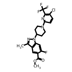 COC(=O)c1cc2c(C)nn(C3CCN(c4ccc(Cl)c(C(F)(F)F)n4)CC3)c2cc1F